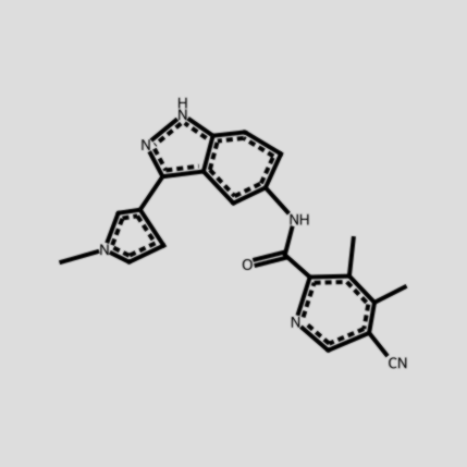 Cc1c(C#N)cnc(C(=O)Nc2ccc3[nH]nc(-c4ccn(C)c4)c3c2)c1C